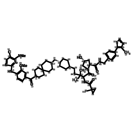 CNc1nc(Nc2ccc(C(=O)N3CCC4(CCN(C[C@H]5CC[C@H](CSC(C)(C)C(NC(=O)C6(F)CC6)C(=O)N6C[C@H](O)C[C@H]6C(=O)NCc6ccc(-c7scnc7C)cc6)CC5)CC4)CC3)cc2OC)ncc1Cl